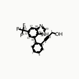 OCC#Cc1ccccc1-c1cc(C(F)(F)F)cc2nc[nH]c12